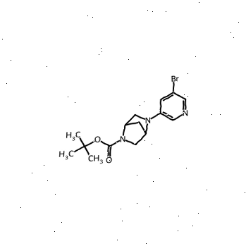 CC(C)(C)OC(=O)N1CC2CC1CN2c1cncc(Br)c1